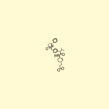 COC(=O)CC[C@H]1CC[C@@H](NC(=O)C(c2ccc(CN3N=C(c4ccccc4)CCC3=O)cc2)C(C)C)CC1